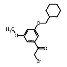 COc1cc(OCC2CCCCC2)cc(C(=O)CBr)c1